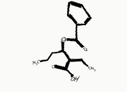 CCCC(OC(=O)c1ccccc1)C(CC)C(=O)O